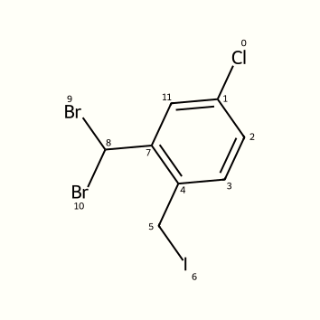 Clc1ccc(CI)c(C(Br)Br)c1